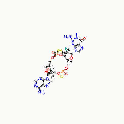 Nc1nc2c(ncn2[C@@H]2O[C@@H]3COP(=O)(S)O[C@@H]4[C@H](O)[C@@H](CO[P@@](=O)(S)O[C@H]3[C@H]2F)O[C@H]4n2cnc3c(N)ncnc32)c(=O)[nH]1